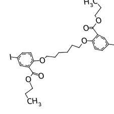 CCCOC(=O)c1cc(I)ccc1OCCCCCCOc1ccc(I)cc1C(=O)OCCC